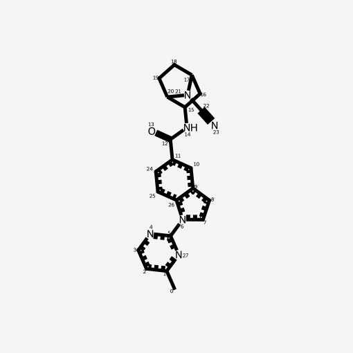 Cc1ccnc(-n2ccc3cc(C(=O)NC4CC5CCC4N5C#N)ccc32)n1